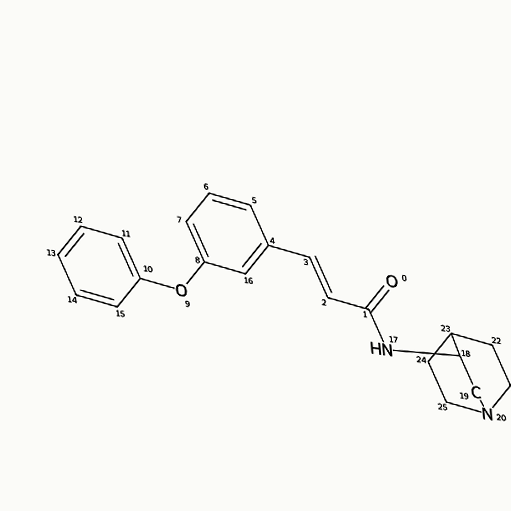 O=C(C=Cc1cccc(Oc2ccccc2)c1)NC1CN2CCC1CC2